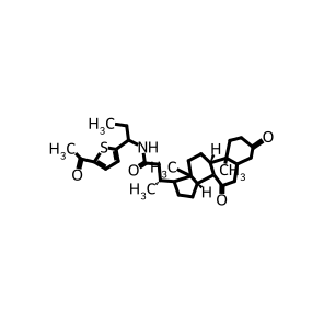 CCC(NC(=O)C[C@@H](C)C1CC[C@H]2C3C(=O)CC4CC(=O)CCC4(C)[C@H]3CCC12C)c1ccc(C(C)=O)s1